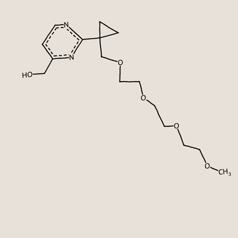 COCCOCCOCCOCC1(c2nccc(CO)n2)CC1